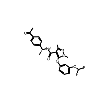 CC(=O)c1ccc([C@H](C)NC(=O)c2c(C)nn(C)c2Oc2cccc(OC(F)F)c2)cc1